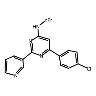 CCCNc1cc(-c2ccc(Cl)cc2)nc(-c2cccnc2)n1